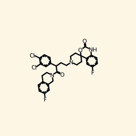 O=C1Nc2ccc(F)cc2C2(CCN(CCC(C(=O)N3CCc4ccc(F)cc4C3)c3ccc(Cl)c(Cl)c3)CC2)O1